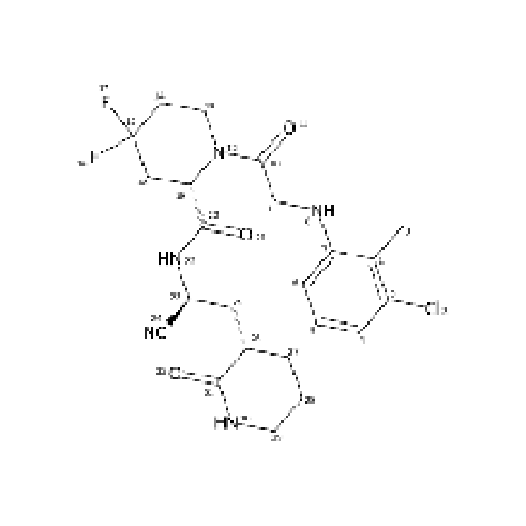 Cc1c(Cl)cccc1NCC(=O)N1CCC(F)(F)C[C@H]1C(=O)N[C@H](C#N)C[C@@H]1CCCNC1=O